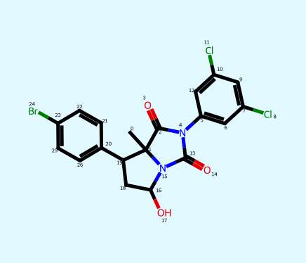 CC12C(=O)N(c3cc(Cl)cc(Cl)c3)C(=O)N1C(O)CC2c1ccc(Br)cc1